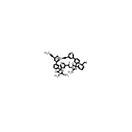 CC#Cc1cncc(-c2cccc(C3(c4cncc(C(F)CN5C(=O)C(c6cccc(-c7cncc(C#CC)c7)c6)(c6cccc(CF)n6)N=C5N)c4)N=C(N)N(C)C3=O)c2)c1